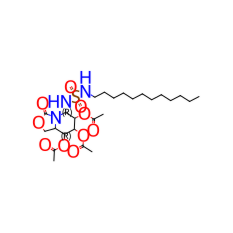 CCCCCCCCCCCCNS(=O)(=O)N[C@@H]1C(OC(C)=O)C(OC(C)=O)[C@H](OC(C)=O)C2COC(=O)N21